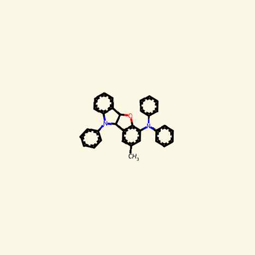 Cc1cc2c(c(N(c3ccccc3)c3ccccc3)c1)OC1c3ccccc3N(c3ccccc3)C21